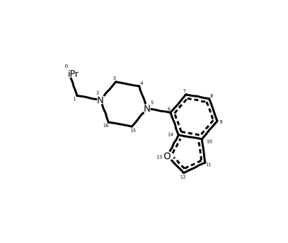 CC(C)CN1CCN(c2cccc3ccoc23)CC1